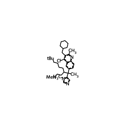 CNCCC(CCCCC(C)(C)C)C(C)(c1ccc2nc(C)c(CC3CCCCC3)c(Cl)c2c1)c1cncn1C